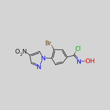 O=[N+]([O-])c1cnn(-c2ccc(C(Cl)=NO)cc2Br)c1